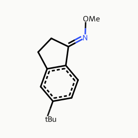 CON=C1CCc2cc(C(C)(C)C)ccc21